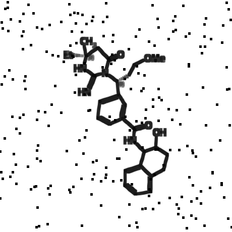 CC[C@]1(C)CC(=O)N([C@H](CCOC)c2cccc(C(=O)NC3c4ccccc4CCC3O)c2)C(=N)N1